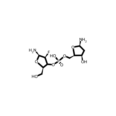 N[C@@H]1O[C@H](CO)C(OP(=O)(O)OC[C@H]2O[C@@H](N)C[C@H]2O)[C@@H]1F